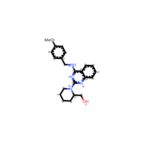 COc1ccc(CNc2nc(N3CCCCC3CO)nc3ccccc23)cc1